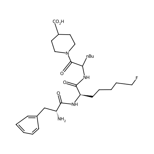 CCCCC(NC(=O)[C@@H](CCCCCF)NC(=O)[C@H](N)Cc1ccccc1)C(=O)N1CCC(C(=O)O)CC1